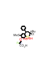 CCCCC1(CC)CC(c2ccccc2)c2cc(SC)c(O/C=C(\F)C(=O)O)cc2S(O)(O)C1